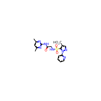 Cc1cc(C)nc(NC(=O)CNS(=O)(=O)c2c(C(=O)O)cnn2-c2ccccn2)n1